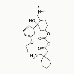 CN(C)CC1CCC(OC(=O)OC(=O)CC2(CN)CCCCC2)CC1(O)C1C=CC=C(OCI)C1